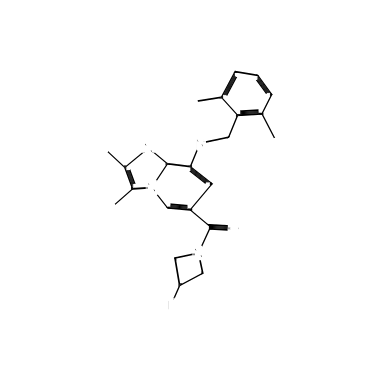 CC1=C(C)N2C=C(C(=O)N3CC(F)C3)C=C(NCc3c(C)cccc3C)C2N1